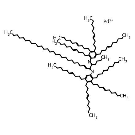 CCCCC/C=C/CCCc1cc(/N=C(\C=C\CCCCCCCCCCCCCCCCCCCCCCCC)C(/CCCC)=N/c2cc(CCC/C=C/CCCCC)c(CCC/C=C/CCCCC)c(CCC/C=C/CCCCC)c2CCC/C=C/CCCCC)c(CCC/C=C/CCCCC)c(CCC/C=C/CCCCC)c1CCC/C=C/CCCCC.[Pd+2]